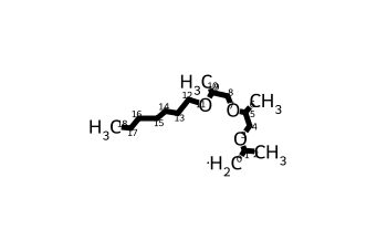 [CH2]C(C)OCC(C)OCC(C)OCCCCCCC